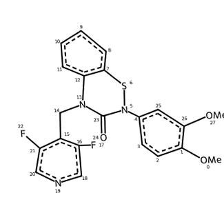 COc1ccc(N2Sc3ccccc3N(Cc3c(F)cncc3F)C2=O)cc1OC